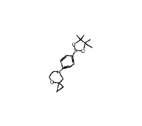 CC1(C)OB(c2ccc(N3CCOC4(CC4)C3)cc2)OC1(C)C